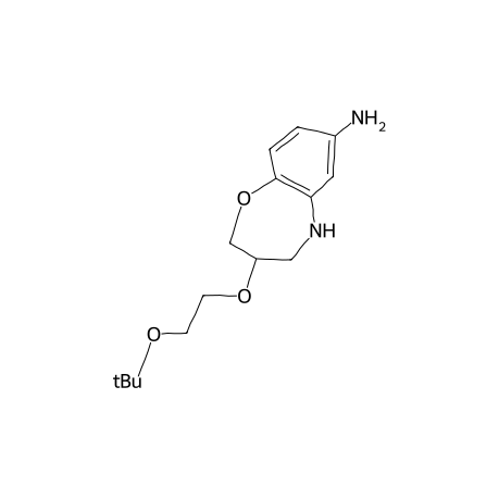 CC(C)(C)OCCOC1CNc2cc(N)ccc2OC1